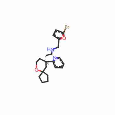 Brc1ccc(CNCC[C@@]2(c3ccccn3)CCOC3(CCCC3)C2)o1